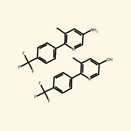 Cc1cc(N)cnc1-c1ccc(C(F)(F)F)cc1.Cc1cc(O)cnc1-c1ccc(C(F)(F)F)cc1